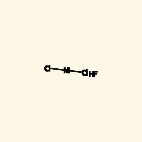 F.[Cl][Ni][Cl]